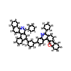 c1ccc(-c2nc3c4ccccc4ccc3c3c2cc(-c2cccc(-c4ccc5c(c4)nc(-c4ccccc4)c4ccc6c7ccccc7oc6c45)c2)c2ccccc23)cc1